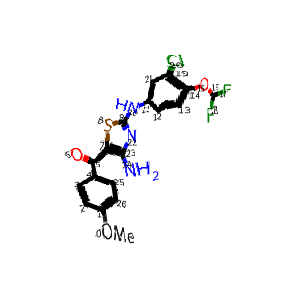 COc1ccc(C(=O)c2sc(Nc3ccc(OC(F)F)c(Cl)c3)nc2N)cc1